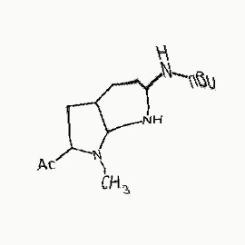 CCCCNC1CC2CC(C(C)=O)N(C)C2N1